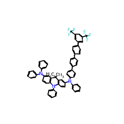 CC1(C)c2cc(N(c3ccccc3)c3ccccc3)ccc2N(c2ccccc2)c2ccc(N(c3ccccc3)c3ccc(-c4ccc(-c5ccc(-c6cc(C(F)(F)F)cc(C(F)(F)F)c6)cc5)cc4)cc3)cc21